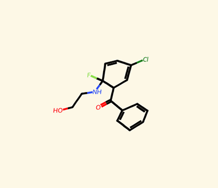 O=C(c1ccccc1)C1C=C(Cl)C=CC1(F)NCCO